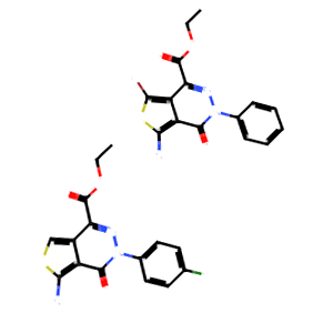 CCOC(=O)c1nn(-c2ccc(Cl)cc2)c(=O)c2c(N)scc12.CCOC(=O)c1nn(-c2ccccc2)c(=O)c2c(N)sc(Br)c12